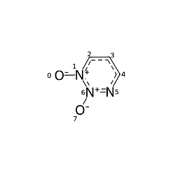 [O-][n+]1cccn[n+]1[O-]